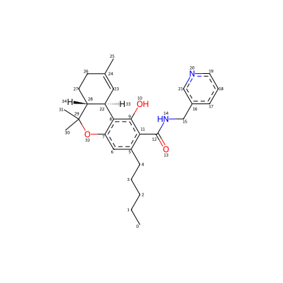 CCCCCc1cc2c(c(O)c1C(=O)NCc1cccnc1)[C@@H]1C=C(C)CC[C@H]1C(C)(C)O2